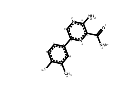 CNC(=O)c1nc(-c2ccc(F)c(C)c2)cnc1N